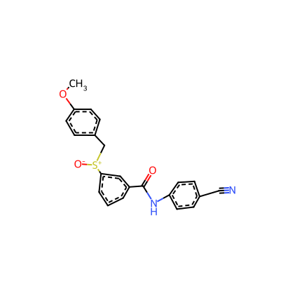 COc1ccc(C[S+]([O-])c2cccc(C(=O)Nc3ccc(C#N)cc3)c2)cc1